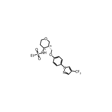 CCS(=O)(=O)N[C@H]1CCOC[C@@H]1COc1ccc(-n2cc(C(F)(F)F)cn2)cc1